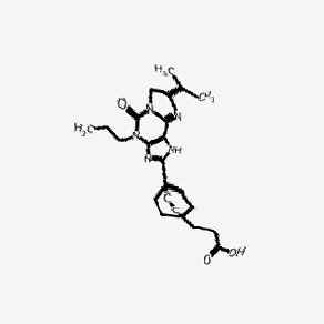 CCCN1C(=O)N2CC(C(C)C)N=C2c2[nH]c(C34CCC(CCC(=O)O)(CC3)CC4)nc21